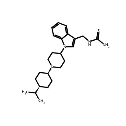 CC(C)[C@H]1CC[C@@H](N2CCC(n3cc(CNC(N)=S)c4ccccc43)CC2)CC1